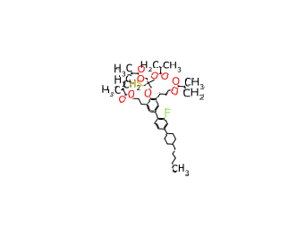 C=C(C)C(=O)OCCCc1cc(-c2ccc(C3CCC(CCCCC)CC3)cc2F)cc(CCCOC(=O)C(=C)C)c1OCC(CS)(COC(=O)C(=C)C)COC(=O)C(=C)C